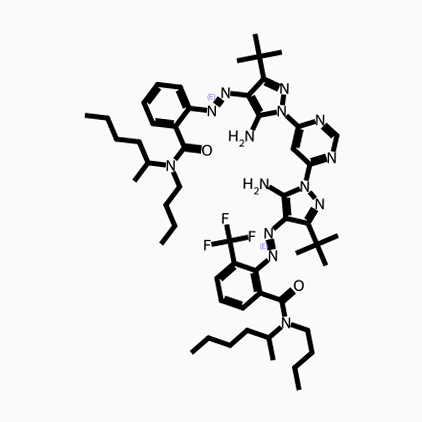 CCCCC(C)N(CCCC)C(=O)c1ccccc1/N=N/c1c(C(C)(C)C)nn(-c2cc(-n3nc(C(C)(C)C)c(/N=N/c4c(C(=O)N(CCCC)C(C)CCCC)cccc4C(F)(F)F)c3N)ncn2)c1N